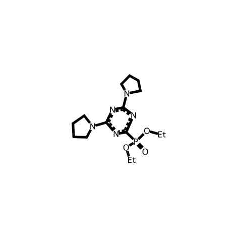 CCOP(=O)(OCC)c1nc(N2CCCC2)nc(N2CCCC2)n1